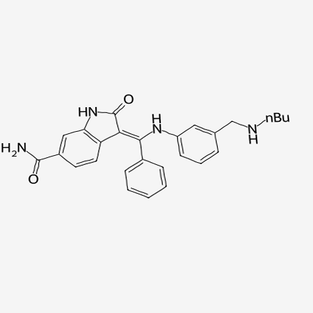 CCCCNCc1cccc(N/C(=C2\C(=O)Nc3cc(C(N)=O)ccc32)c2ccccc2)c1